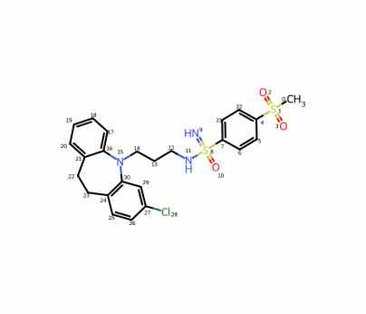 CS(=O)(=O)c1ccc(S(=N)(=O)NCCCN2c3ccccc3CCc3ccc(Cl)cc32)cc1